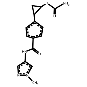 Cn1cc(NC(=O)c2ccc(C3CC3OC(N)=O)cc2)cn1